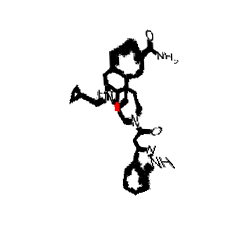 NC(=O)c1ccc2c(c1)C13CCN(C(=O)Cc4n[nH]c5ccccc45)CCC1(O)C(C2)N(CC1CC1)CC3